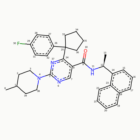 CC1CCN(c2ncc(C(=O)N[C@@H](C)c3cccc4ccccc34)c(C3(c4ccc(F)cc4)CCCC3)n2)CC1